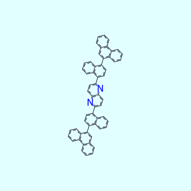 c1ccc2c(c1)cc(-c1ccc(-c3ccc4nc(-c5ccc(-c6cc7ccccc7c7ccccc67)c6ccccc56)ccc4n3)c3ccccc13)c1ccccc12